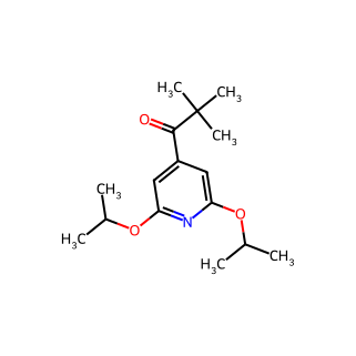 CC(C)Oc1cc(C(=O)C(C)(C)C)cc(OC(C)C)n1